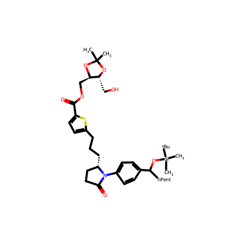 CCCCCC(O[Si](C)(C)C(C)(C)C)c1ccc(N2C(=O)CC[C@@H]2CCCc2ccc(C(=O)OC[C@H]3OC(C)(C)O[C@@H]3CO)s2)cc1